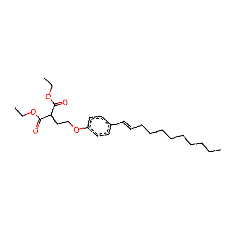 CCCCCCCCCC=Cc1ccc(OCCC(C(=O)OCC)C(=O)OCC)cc1